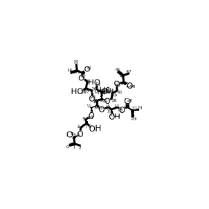 C=C(C)C(=O)OCC(O)COC[C@H](OCC(O)COC(=O)C(=C)C)[C@@H](OCC(O)COC(=O)C(=C)C)[C@H](OCC(O)COC(=O)C(=C)C)[C@H](O)CO